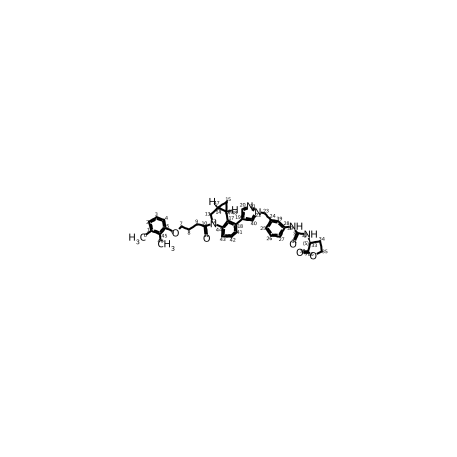 Cc1cccc(OCCCC(=O)N2C[C@@H]3C[C@@H]3c3c(-c4cnn(Cc5cccc(NC(=O)N[C@H]6CCOC6=O)c5)c4)cccc32)c1C